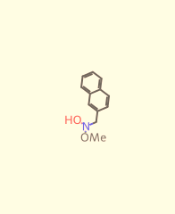 CON(O)Cc1ccc2ccccc2c1